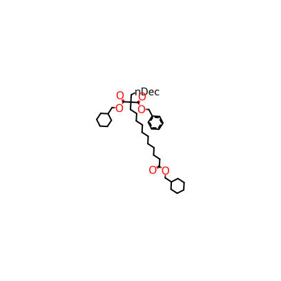 CCCCCCCCCCCC(CCCCCCCCCCC(=O)OCC1CCCCC1)(C(=O)OCc1ccccc1)C(=O)OCC1CCCCC1